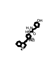 C[n+]1ccc(C=Cc2ccc(NC(=O)[C@@H](N)Cc3ccc(O)cc3)cc2)c2ccccc21.Cl.Cl